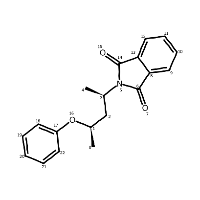 C[C@H](C[C@@H](C)N1C(=O)c2ccccc2C1=O)Oc1ccccc1